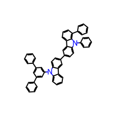 c1ccc(-c2cc(-c3ccccc3)cc(-n3c4ccccc4c4cc(-c5ccc6c(c5)c5cccc(-c7ccccc7)c5n6-c5ccccc5)ccc43)c2)cc1